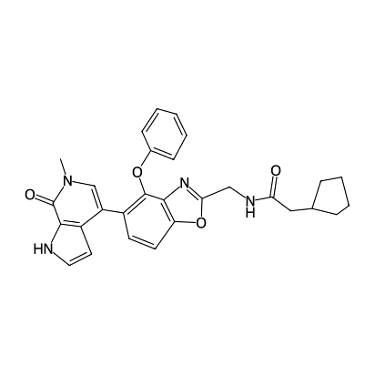 Cn1cc(-c2ccc3oc(CNC(=O)CC4CCCC4)nc3c2Oc2ccccc2)c2cc[nH]c2c1=O